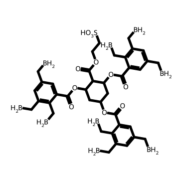 BCc1cc(CB)c(CB)c(C(=O)OC2CC(OC(=O)c3cc(CB)cc(CB)c3CB)C(C(=O)OCCS(=O)(=O)O)C(OC(=O)c3cc(CB)cc(CB)c3CB)C2)c1